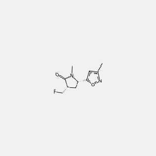 Cc1cc([C@@H]2C[C@H](CF)C(=O)N2C)on1